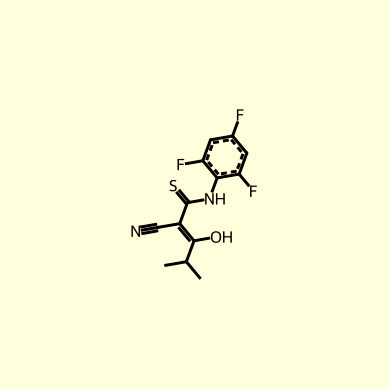 CC(C)C(O)=C(C#N)C(=S)Nc1c(F)cc(F)cc1F